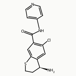 N[C@H]1CCSc2cc(C(=O)Nc3ccncc3)c(Cl)cc21